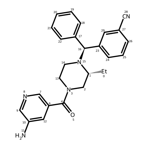 CC[C@@H]1CN(C(=O)c2cncc(N)c2)CCN1[C@@H](c1ccccc1)c1cccc(C#N)c1